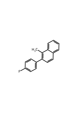 Cc1c(-c2ccc(F)cc2)ccc2ccccc12